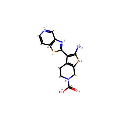 Nc1sc2c(c1-c1nc3cnccc3s1)CCN(C(=O)O)C2